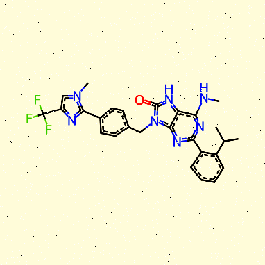 CNc1nc(-c2ccccc2C(C)C)nc2c1[nH]c(=O)n2Cc1ccc(-c2nc(C(F)(F)F)cn2C)cc1